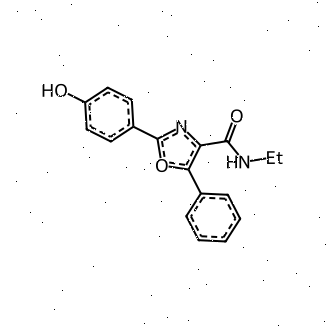 CCNC(=O)c1nc(-c2ccc(O)cc2)oc1-c1ccccc1